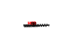 CCCCCCCCCCCC/C=C(/CCCCCCCC)C(=O)O